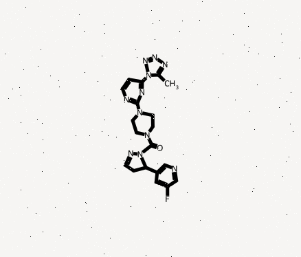 Cc1nnnn1-c1ccnc(N2CCN(C(=O)N3N=CCC3c3cncc(F)c3)CC2)n1